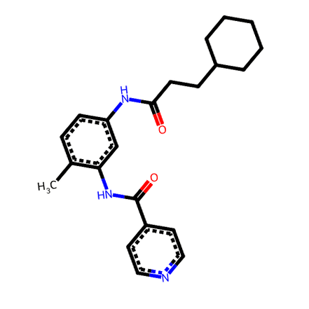 Cc1ccc(NC(=O)CCC2CCCCC2)cc1NC(=O)c1ccncc1